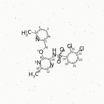 Cc1cccc(COc2nc(C)cnc2NS(=O)(=O)c2cccc(Cl)c2Cl)n1